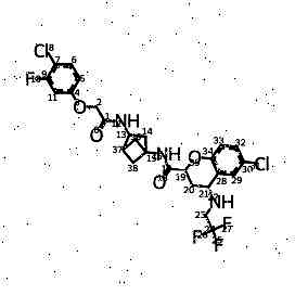 O=C(COc1ccc(Cl)c(F)c1)NC1CC2(NC(=O)[C@@H]3C[C@@H](NCC(F)(F)F)c4cc(Cl)ccc4O3)CC1C2